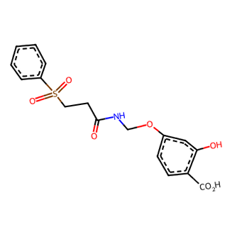 O=C(CCS(=O)(=O)c1ccccc1)NCOc1ccc(C(=O)O)c(O)c1